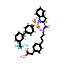 O=C(O)Cc1ccc(CCCNC(=O)[C@@H]2Cc3ccccc3N2S(=O)(=O)c2ccc(-c3cccc(C(F)(F)F)c3)cc2)cc1